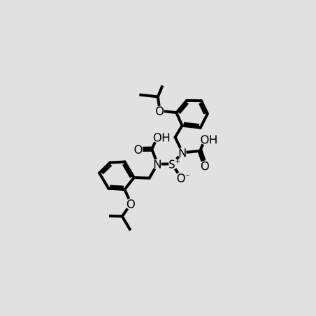 CC(C)Oc1ccccc1CN(C(=O)O)[S+]([O-])N(Cc1ccccc1OC(C)C)C(=O)O